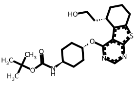 CC(C)(C)OC(=O)N[C@H]1CC[C@H](Oc2ncnc3sc4c(c23)[C@H](CCO)CCC4)CC1